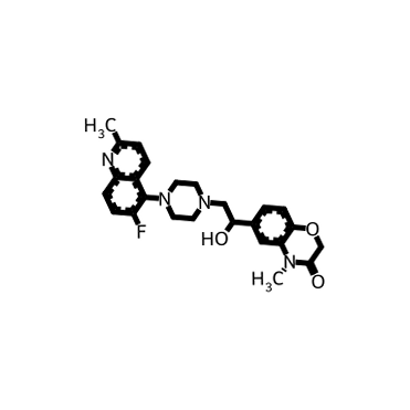 Cc1ccc2c(N3CCN(CC(O)c4ccc5c(c4)N(C)C(=O)CO5)CC3)c(F)ccc2n1